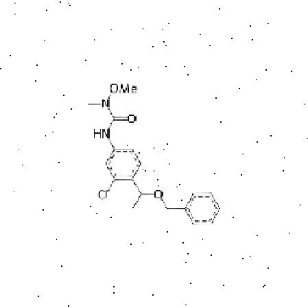 CON(C)C(=O)Nc1ccc(C(C)OCc2ccccc2)c(Cl)c1